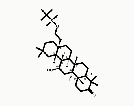 CC1(C)CC[C@]2(CCO[Si](C)(C)C(C)(C)C)CC[C@]3(C)[C@H]([C@H](O)C[C@@H]4[C@@]5(C)CCC(=O)C(C)(C)[C@@H]5CC[C@]43C)[C@@H]2C1